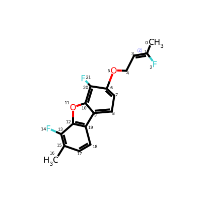 C/C(F)=C/COc1ccc2c(oc3c(F)c(C)ccc32)c1F